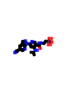 CC(C)Nc1cc(-n2ncc3cc(C#N)cnc32)ncc1C(=O)NCCP(=O)(O)O